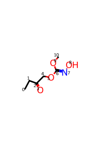 CCC(=O)COC(=NO)OC